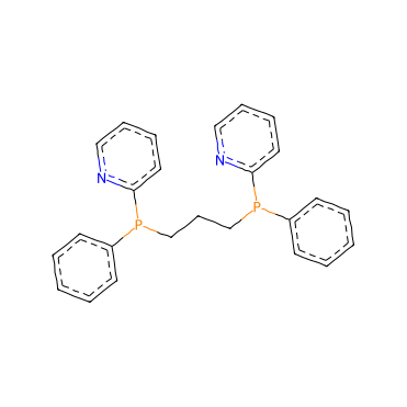 c1ccc(P(CCCP(c2ccccc2)c2ccccn2)c2ccccn2)cc1